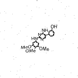 COc1cc(Nc2ncc(-c3cccc(O)c3)c(N)n2)cc(OC)c1OC